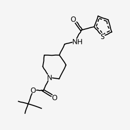 CC(C)(C)OC(=O)N1CCC(CNC(=O)c2cccs2)CC1